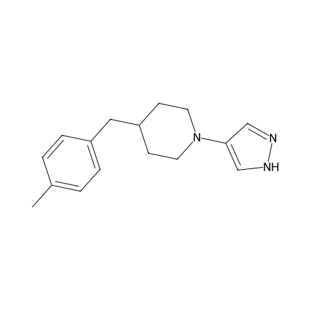 Cc1ccc(CC2CCN(c3cn[nH]c3)CC2)cc1